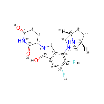 O=C1CCC(N2Cc3c(cc(F)c(F)c3N3C[C@H]4CC[C@@H](C3)N4)C2=O)C(=O)N1